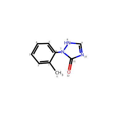 Cc1ccccc1-n1[nH]cnc1=O